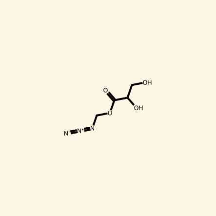 [N-]=[N+]=NCOC(=O)C(O)CO